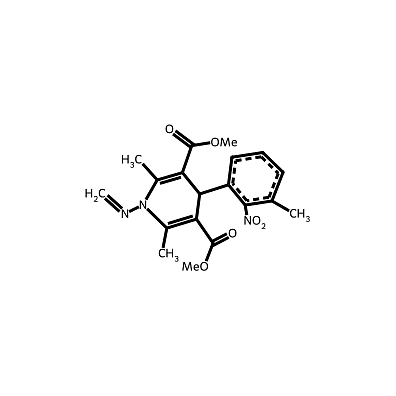 C=NN1C(C)=C(C(=O)OC)C(c2cccc(C)c2[N+](=O)[O-])C(C(=O)OC)=C1C